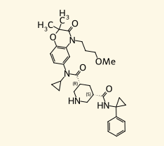 COCCCN1C(=O)C(C)(C)Oc2ccc(N(C(=O)[C@H]3CNC[C@@H](C(=O)NC4(c5ccccc5)CC4)C3)C3CC3)cc21